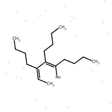 CC=C(CCCC)C(CCCC)=[C]([Ru])CCCC